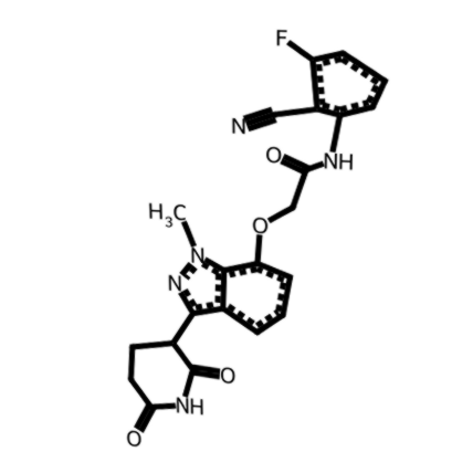 Cn1nc(C2CCC(=O)NC2=O)c2cccc(OCC(=O)Nc3cccc(F)c3C#N)c21